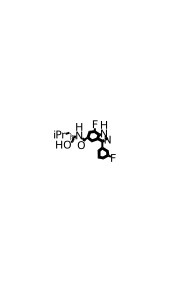 CC(C)C[C@@H](CO)NC(=O)c1cc(F)c2[nH]nc(-c3cccc(F)c3)c2c1